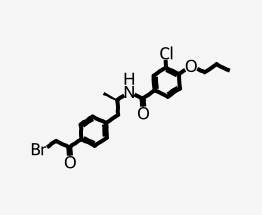 CCCOc1ccc(C(=O)N[C@H](C)Cc2ccc(C(=O)CBr)cc2)cc1Cl